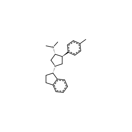 Cc1ccc([C@H]2CN([C@H]3CCc4ccccc43)C[C@@H]2N(C)C)cc1